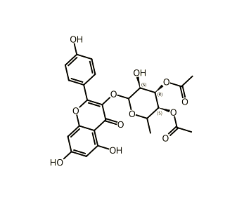 CC(=O)O[C@@H]1[C@H](O)C(Oc2c(-c3ccc(O)cc3)oc3cc(O)cc(O)c3c2=O)OC(C)[C@@H]1OC(C)=O